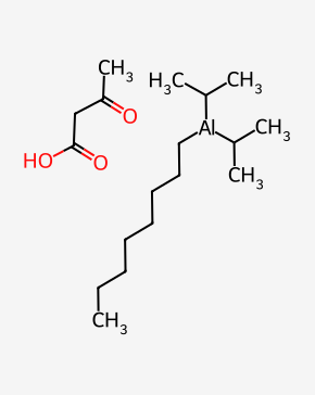 CC(=O)CC(=O)O.CCCCCCC[CH2][Al]([CH](C)C)[CH](C)C